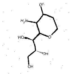 NC1C(O)CCOC1[C@H](O)[C@H](O)CO